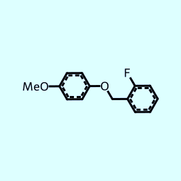 COc1ccc(OCc2ccccc2F)cc1